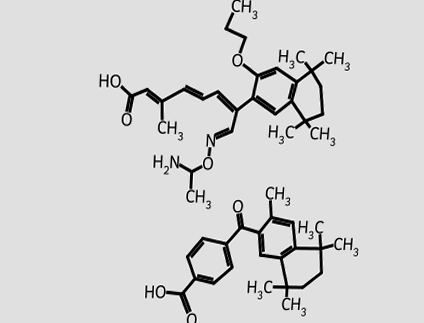 CCCOc1cc2c(cc1/C(C=NOC(C)N)=C/C=C/C(C)=C/C(=O)O)C(C)(C)CCC2(C)C.Cc1cc2c(cc1C(=O)c1ccc(C(=O)O)cc1)C(C)(C)CCC2(C)C